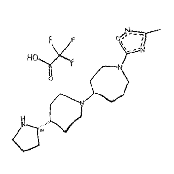 Cc1noc(N2CCCC(N3CCC([C@@H]4CCCN4)CC3)CC2)n1.O=C(O)C(F)(F)F